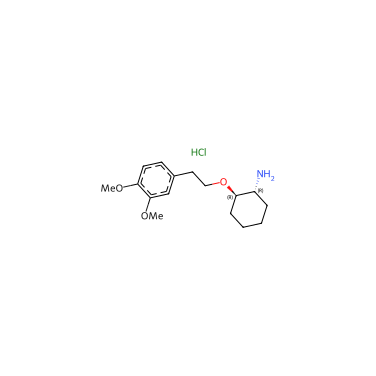 COc1ccc(CCO[C@@H]2CCCC[C@H]2N)cc1OC.Cl